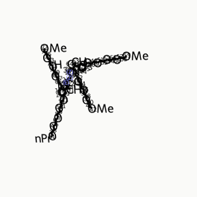 CCCOCCOCCOCCOCCOc1ccc2c(c1)C(C)(C)\C(=C/C=C\C=C/C1=[N+](CCOCCOCCOCCOC)c3ccc(OCCOCCOCCOCCOC)cc3C1(C)C)N2CCOCCOCCOCCOC